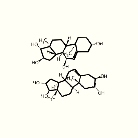 C[C@]12CC[C@H]3[C@@H](CC=C4C[C@@H](O)[C@H](O)C[C@@]43C)[C@@H]1C[C@@H](O)[C@@H]2O.C[C@]12CC[C@H]3[C@@H]([C@H](O)C=C4C[C@@H](O)CC[C@@]43C)[C@@H]1C[C@@H](O)[C@@H]2O